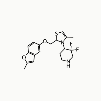 CC1=CSC(COc2ccc3oc(C)cc3c2)N1C1CCNCC1(F)F